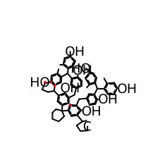 Cc1cc(O)ccc1C(c1ccc(O)cc1C)c1cc(Cc2cc(C3(c4cc(Cc5ccc(O)c(C(c6ccc(O)cc6C)c6ccc(O)cc6C)c5)c(O)c(C5CCCCC5)c4)CCCCC3)cc(C3CCCCC3)c2O)ccc1O